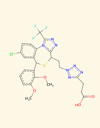 COc1cccc(C2SC(CCn3nnc(CCC(=O)O)n3)c3nnc(C(F)(F)F)n3-c3ccc(Cl)cc32)c1OC